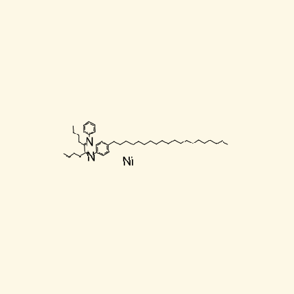 CCCCCCCCCCCCCCCCCCCCc1ccc(N=C(CCCC)C(CCCC)=Nc2ccccc2)cc1.[Ni]